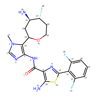 Cn1cnc(NC(=O)c2nc(-c3c(F)cccc3F)sc2N)c1C1C[C@@H](N)[C@H](F)CCO1